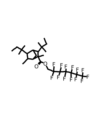 CCC(C)(C)C1C(C)C2CC1C(C(C)(C)CC)C2(C)C(=O)OCC(F)(F)C(F)(F)C(F)(F)C(F)(F)C(F)(F)C(F)(F)F